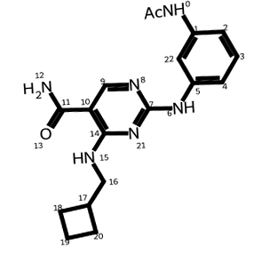 CC(=O)Nc1cccc(Nc2ncc(C(N)=O)c(NCC3CCC3)n2)c1